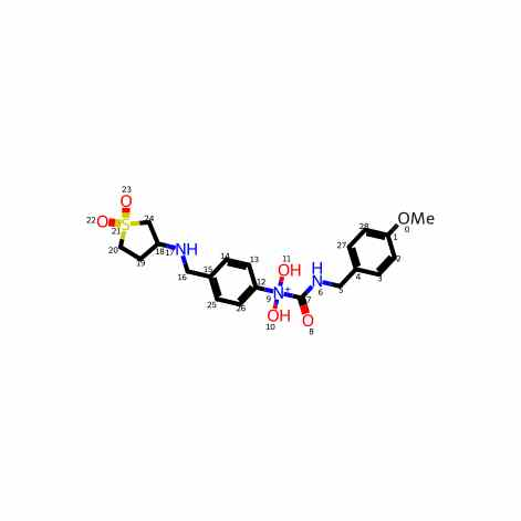 COc1ccc(CNC(=O)[N+](O)(O)c2ccc(CNC3CCS(=O)(=O)C3)cc2)cc1